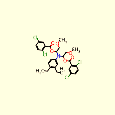 CCc1ccc(N(C(COC)OC(=O)c2cc(Cl)ccc2Cl)C(COC)OC(=O)c2cc(Cl)ccc2Cl)cc1CC